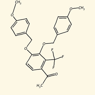 COc1ccc(COc2ccc(C(C)=O)c(C(F)(F)F)c2OCc2ccc(OC)cc2)cc1